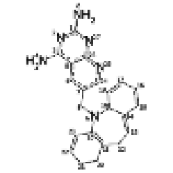 Nc1nc(N)c2cc(CN3C4=C(CC=C5C=CC=CC53)CCC=C4)cnc2n1